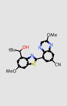 COc1cc(C(O)C(C)(C)C)c2nc(-c3cc(C#N)cc4nc(OC)cnc34)sc2c1